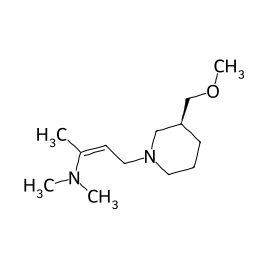 COC[C@H]1CCCN(C/C=C(/C)N(C)C)C1